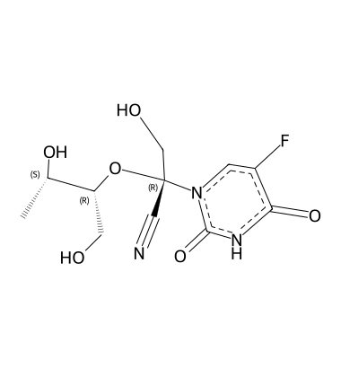 C[C@H](O)[C@@H](CO)O[C@](C#N)(CO)n1cc(F)c(=O)[nH]c1=O